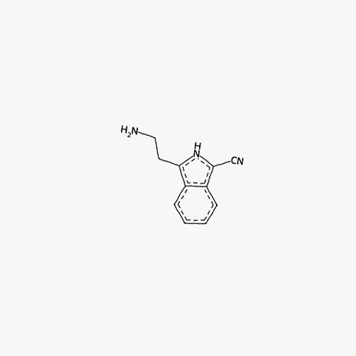 N#Cc1[nH]c(CCN)c2ccccc12